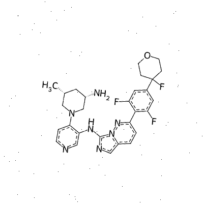 C[C@@H]1C[C@H](N)CN(c2ccncc2Nc2ncc3ccc(-c4c(F)cc(C5(F)CCOCC5)cc4F)nn23)C1